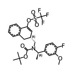 COc1cc([C@@H](C)N(C[C@H]2C=C(OS(=O)(=O)C(F)(F)F)c3ccccc3C2)C(=O)OC(C)(C)C)ccc1F